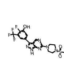 CS(=O)(=O)N1CCN(c2ncc3c(-c4cc(O)c(F)c(C(F)(F)F)c4)n[nH]c3n2)CC1